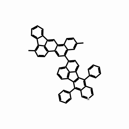 Cc1ccc2c(c1)c(-c1ccc3c4c(cccc14)-c1c-3c(-c3ccccc3)c3ccncc3c1-c1ccccc1)cc1c3ccc(C)c4c3c(cc21)-c1ccccc1-4